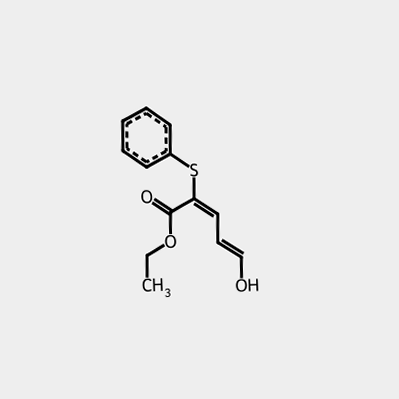 CCOC(=O)C(=CC=CO)Sc1ccccc1